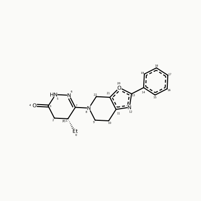 CC[C@@H]1CC(=O)NN=C1N1CCc2nc(-c3ccccc3)oc2C1